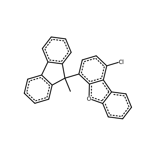 CC1(c2ccc(Cl)c3c2oc2ccccc23)c2ccccc2-c2ccccc21